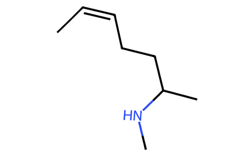 C/C=C\CCC(C)NC